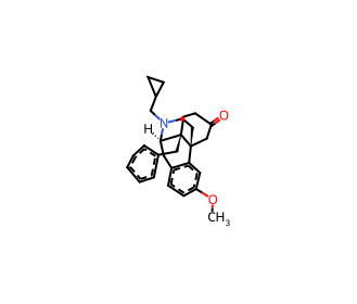 COc1ccc2c(c1)[C@]13CCN(CC4CC4)[C@H](C2)[C@]1(Cc1ccccc1)CCC(=O)C3